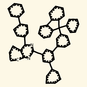 c1ccc(-c2ccc(-c3nc(-c4cc(-c5ccccc5)cc(-c5cccc(C6(c7ccccc7)c7ccccc7-c7ccccc76)c5)c4)nc4ccccc34)cc2)cc1